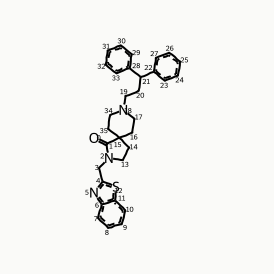 O=C1N(Cc2nc3ccccc3s2)CCC12CCN(CCC(c1ccccc1)c1ccccc1)CC2